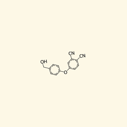 N#Cc1ccc(Oc2ccc(CO)cc2)cc1C#N